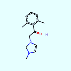 Cc1cccc(C)c1C(=O)CN1C=CN(C)C1.I